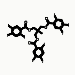 CC(COC(=O)c1cc(I)c(I)cc1I)(COC(=O)c1cc(I)c(I)cc1I)COC(=O)c1cc(I)c(I)cc1I